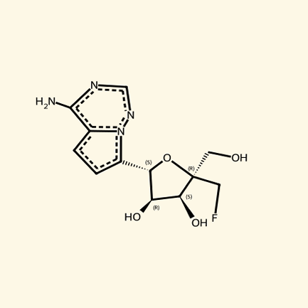 Nc1ncnn2c([C@@H]3O[C@@](CO)(CF)[C@@H](O)[C@H]3O)ccc12